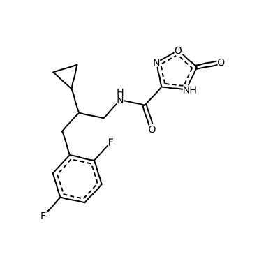 O=C(NCC(Cc1cc(F)ccc1F)C1CC1)c1noc(=O)[nH]1